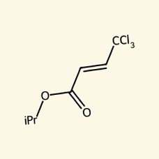 CC(C)OC(=O)C=CC(Cl)(Cl)Cl